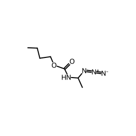 CCCCOC(=O)NC(C)N=[N+]=[N-]